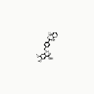 COc1cc(NCc2ccc(C(=O)Nc3ccccc3N)cc2)c(C(=O)O)cc1OC